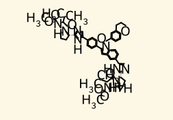 COC(=O)NC(C(=O)N1CCC[C@H]1c1ncc(-c2ccc3c(c2)OC(c2ccc4c(c2)CCCO4)n2c-3cc3cc(-c4cnc([C@@H]5C[C@H]6C[C@H]6N5C(=O)C(NC(=O)OC)C(C)C)[nH]4)ccc32)[nH]1)C(C)C